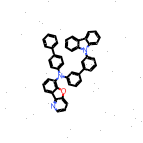 c1ccc(-c2ccc(N(c3cccc(-c4cccc(-n5c6ccccc6c6ccccc65)c4)c3)c3cccc4c3oc3cccnc34)cc2)cc1